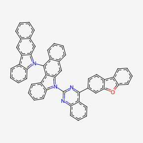 c1ccc2cc3c(cc2c1)c1ccccc1n3-c1c2ccccc2cc2c1c1ccccc1n2-c1nc(-c2ccc3c(c2)oc2ccccc23)c2ccccc2n1